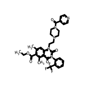 CCOC(=O)c1c(C)cc2c(c1C)c(=O)n(-c1ccccc1C(F)(F)F)c(=O)n2CCN1CCN(C(=O)c2ccncc2)CC1